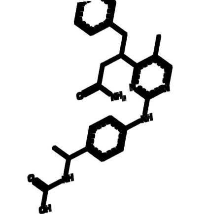 Cc1cnc(Nc2ccc(C(C)NC(=O)O)cc2)nc1C(CC(N)=O)Cc1ccccc1